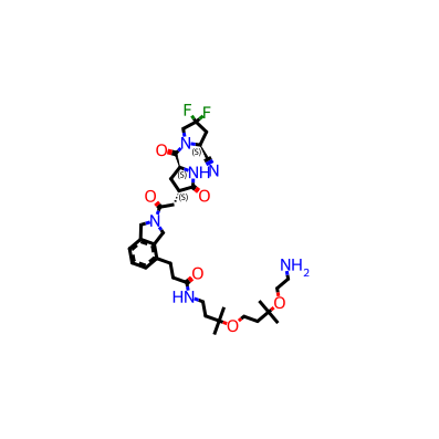 CC(C)(CCNC(=O)CCc1cccc2c1CN(C(=O)C[C@@H]1C[C@@H](C(=O)N3CC(F)(F)C[C@H]3C#N)NC1=O)C2)OCCC(C)(C)OCCN